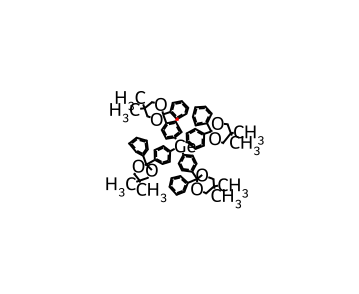 CC1(C)COC(c2ccccc2)(c2cc[c]([Ge]([c]3ccc(C4(c5ccccc5)OCC(C)(C)CO4)cc3)([c]3ccc(C4(c5ccccc5)OCC(C)(C)CO4)cc3)[c]3ccc(C4(c5ccccc5)OCC(C)(C)CO4)cc3)cc2)OC1